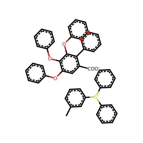 Cc1cccc([S+](c2ccccc2)c2ccccc2)c1.O=C([O-])c1cc(Oc2ccccc2)c(Oc2ccccc2)c(Oc2ccccc2)c1-c1ccccc1